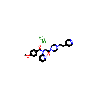 COc1ccc(C(=O)N(CC(=O)N2CCN(CCc3ccncc3)CC2)c2ccccn2)cc1.Cl.Cl.Cl